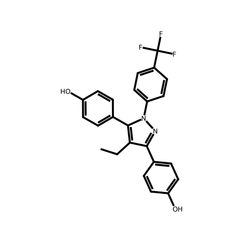 CCc1c(-c2ccc(O)cc2)nn(-c2ccc(C(F)(F)F)cc2)c1-c1ccc(O)cc1